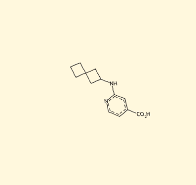 O=C(O)c1ccnc(NC2CC3(CCC3)C2)c1